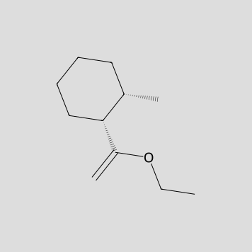 C=C(OCC)[C@@H]1CCCC[C@@H]1C